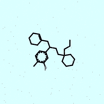 CCCC1(CCC(CC2=CCCCC2)c2ccc(C)c(F)c2)CCCCC1